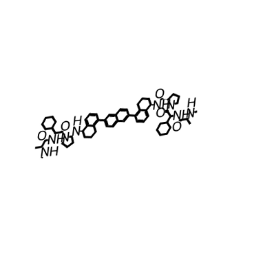 CNC(C)C(=O)NC(C(=O)N1CCC[C@H]1N[C@@H]1CCCc2c(-c3ccc4cc(-c5cccc6c5CCC[C@H]6NC(=O)[C@@H]5CCCN5C(=O)C(NC(=O)C(C)NC)C5CCCCC5)ccc4c3)cccc21)C1CCCCC1